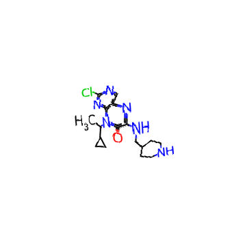 CC(C1CC1)n1c(=O)c(NCC2CCNCC2)nc2cnc(Cl)nc21